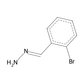 NN=Cc1ccccc1Br